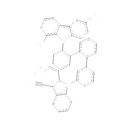 C#Cc1c(/C=C\C)n(-c2cccc(-c3ccccc3C3=C(n4c5ccc(C#N)cc5c5cccc(C#N)c54)C[C@@H](C#N)C=C3)c2)c2ccccc12